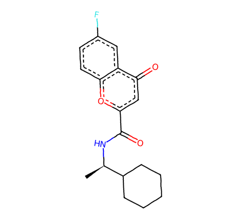 C[C@@H](NC(=O)c1cc(=O)c2cc(F)ccc2o1)C1CCCCC1